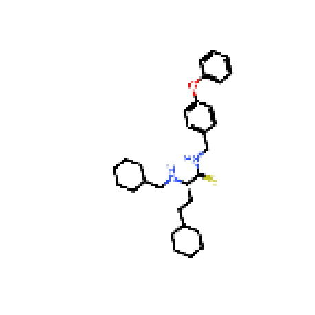 S=C(NCc1ccc(Oc2ccccc2)cc1)[C@@H](CCC1CCCCC1)NCC1CCCCC1